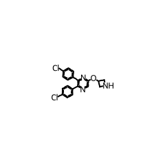 Clc1ccc(-c2ncc(OC3CNC3)nc2-c2ccc(Cl)cc2)cc1